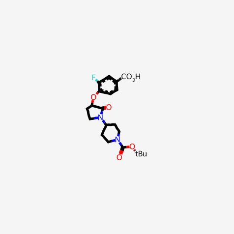 CC(C)(C)OC(=O)N1CCC(N2CCC(Oc3ccc(C(=O)O)cc3F)C2=O)CC1